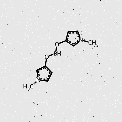 Cn1ccc(OBOc2ccn(C)c2)c1